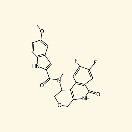 COc1ccc2[nH]c(C(=O)N(C)C3COCc4[nH]c(=O)c5cc(F)c(F)cc5c43)cc2c1